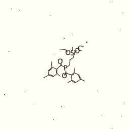 CCO[Si](C)(CCCP(C(=O)c1c(C)cc(C)cc1C)C(=O)c1c(C)cc(C)cc1C)OCC